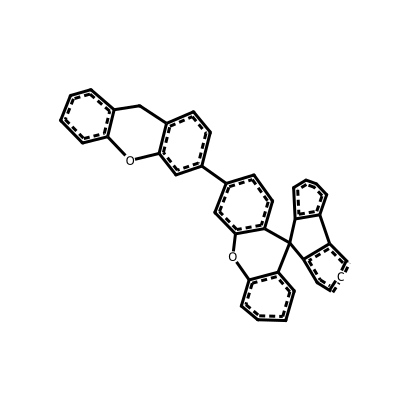 c1ccc2c(c1)Cc1ccc(-c3ccc4c(c3)Oc3ccccc3C43c4ccccc4-c4ccccc43)cc1O2